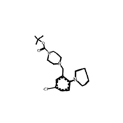 CC(C)(C)OC(=O)N1CCN(Cc2cc(Cl)ccc2N2CCCC2)CC1